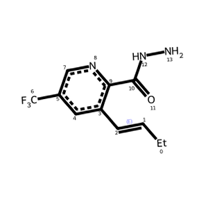 CC/C=C/c1cc(C(F)(F)F)cnc1C(=O)NN